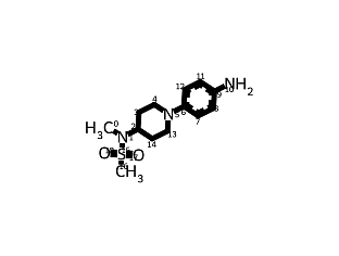 CN(C1CCN(c2ccc(N)cc2)CC1)S(C)(=O)=O